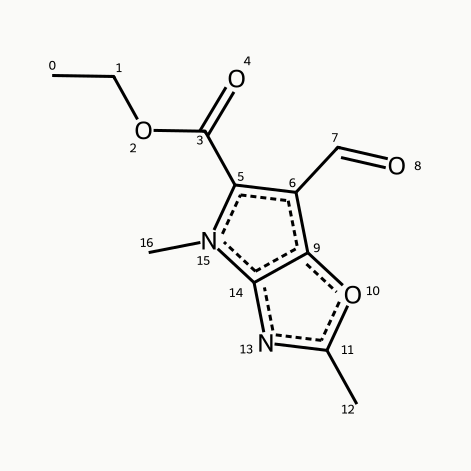 CCOC(=O)c1c(C=O)c2oc(C)nc2n1C